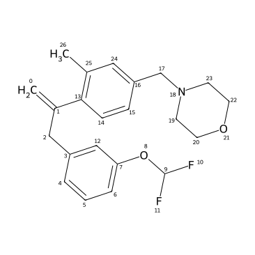 C=C(Cc1cccc(OC(F)F)c1)c1ccc(CN2CCOCC2)cc1C